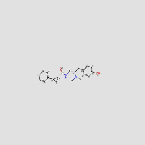 CN(C)[C@H](CNC(=O)[C@@H]1C[C@H]1c1ccccc1)Cc1ccc(O)cc1